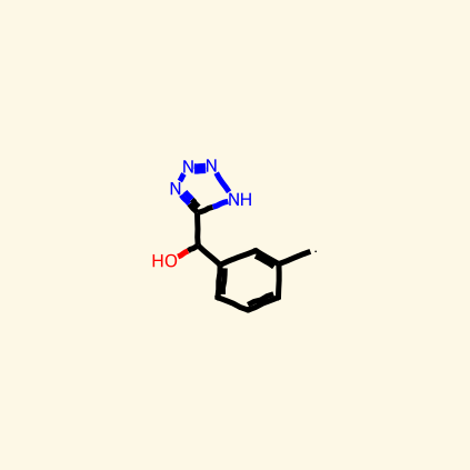 [CH2]c1cccc(C(O)c2nnn[nH]2)c1